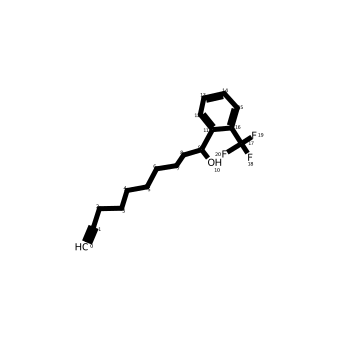 C#CCCCCCCCC(O)c1ccccc1C(F)(F)F